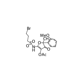 COc1ccccc1C1(C)OC(NS(=O)(=O)CCCBr)=C(OC(C)=O)C1=O